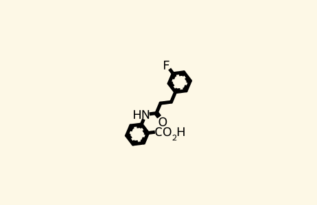 O=C(CCc1cccc(F)c1)Nc1ccccc1C(=O)O